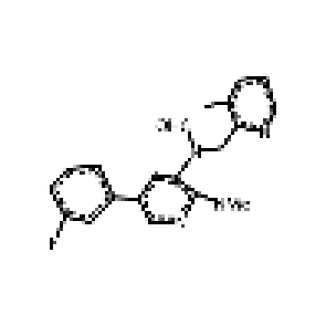 CNc1ncc(-c2cccc(F)c2)cc1N(C=O)Cc1ncccc1C